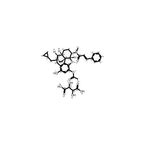 CC(=O)Oc1cc(O)c2c3c1O[C@H]1[C@H](N(C)C(=O)C=Cc4ccccc4)CC[C@H]4[C@@H](C2)N(CC2CC2)CC[C@@]341.O=C(O)C(O)C(O)C(=O)O